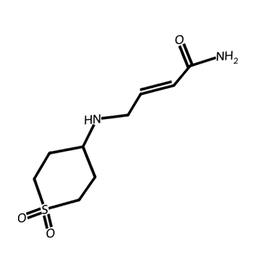 NC(=O)C=CCNC1CCS(=O)(=O)CC1